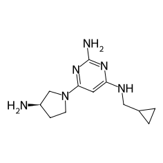 Nc1nc(NCC2CC2)cc(N2CC[C@@H](N)C2)n1